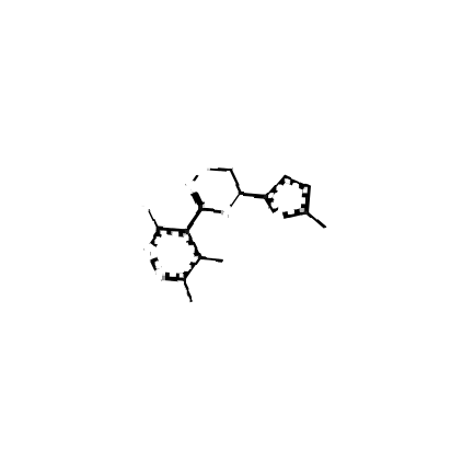 Cc1ccc(C2CON=C(c3c(Br)nnc(C)c3C)N2)s1